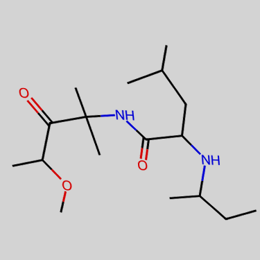 CCC(C)NC(CC(C)C)C(=O)NC(C)(C)C(=O)C(C)OC